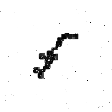 CCCCCC=NOCCCCOc1c(Cl)cc(OCC=C(Cl)Cl)cc1Cl